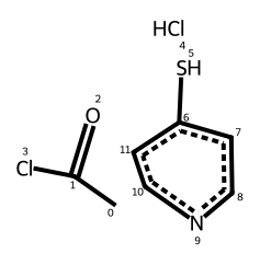 CC(=O)Cl.Cl.Sc1ccncc1